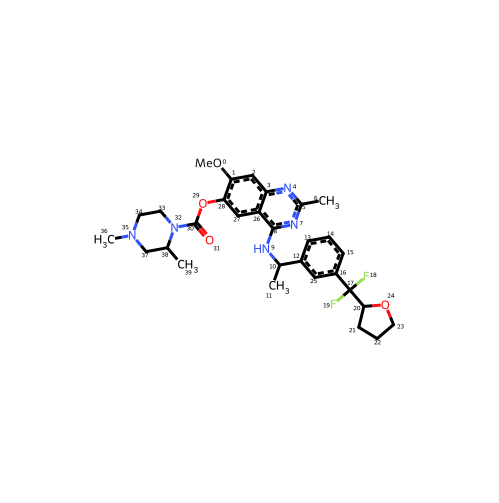 COc1cc2nc(C)nc(NC(C)c3cccc(C(F)(F)C4CCCO4)c3)c2cc1OC(=O)N1CCN(C)CC1C